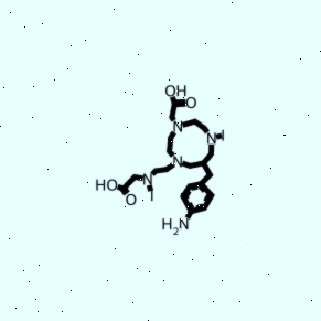 Nc1ccc(CC2CN(I)CCN(CC(=O)O)CCN(CCN(I)CC(=O)O)C2)cc1